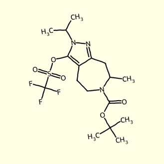 CC1Cc2nn(C(C)C)c(OS(=O)(=O)C(F)(F)F)c2CCN1C(=O)OC(C)(C)C